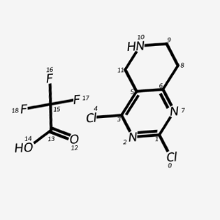 Clc1nc(Cl)c2c(n1)CCNC2.O=C(O)C(F)(F)F